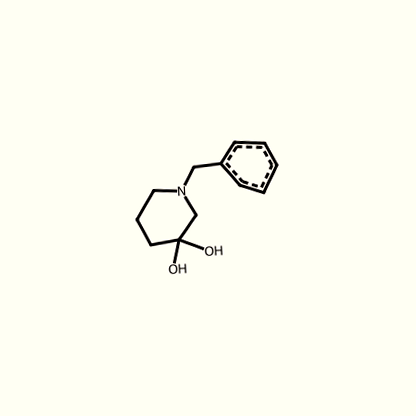 OC1(O)CCCN(Cc2ccccc2)C1